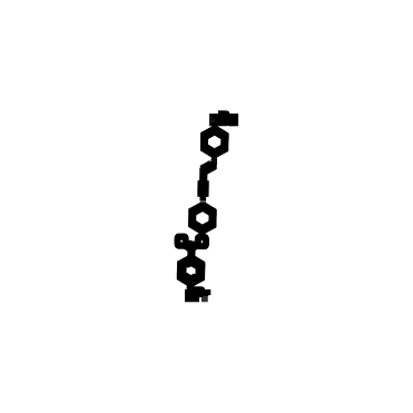 CCCC[C@H]1CC[C@H](C=CC#C[C@H]2CC[C@H](OC(=O)c3ccc(CCC)cc3)CC2)CC1